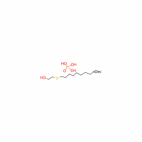 CCCCCCCCCCCCCCCCCCSCCO.O=P(O)(O)O